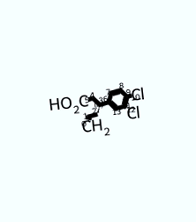 C=CC[C@H](CC(=O)O)c1ccc(Cl)c(Cl)c1